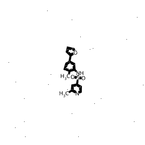 Cc1cc(S(=O)(=O)Nc2cc(-c3ccco3)ccc2C)ccn1